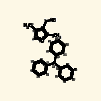 Cc1noc(C)c1CCl.c1ccc(P(c2ccccc2)c2ccccc2)cc1